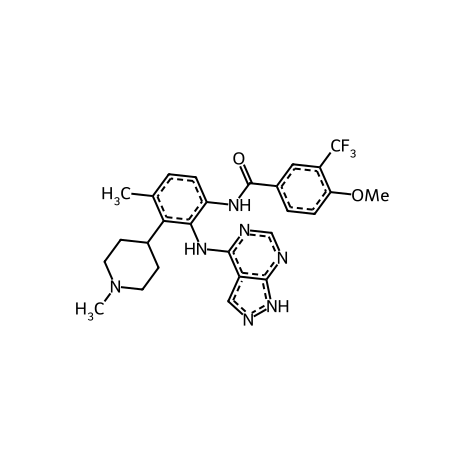 COc1ccc(C(=O)Nc2ccc(C)c(C3CCN(C)CC3)c2Nc2ncnc3[nH]ncc23)cc1C(F)(F)F